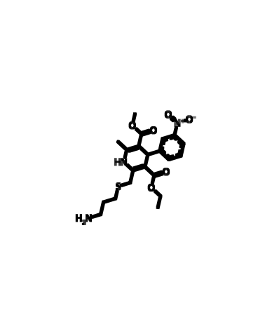 CCOC(=O)C1=C(CSCCCN)NC(C)=C(C(=O)OC)C1c1cccc([N+](=O)[O-])c1